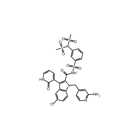 CS(=O)(=O)N(c1cccc(S(=O)(=O)NC(=O)c2c(-c3ccc[nH]c3=O)c3cc(Cl)ccc3n2Cc2ccnc(N)c2)c1)S(C)(=O)=O